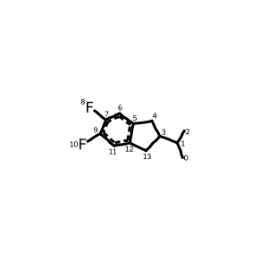 CC(C)C1Cc2cc(F)c(F)cc2C1